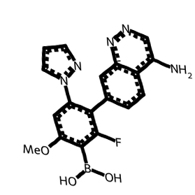 COc1cc(-n2cccn2)c(-c2ccc3c(N)cnnc3c2)c(F)c1B(O)O